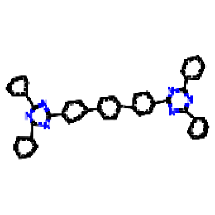 c1ccc(-c2nc(-c3ccccc3)nc(-c3ccc(-c4ccc(-c5ccc(-c6nc(-c7ccccc7)nc(-c7ccccc7)n6)cc5)cc4)cc3)n2)cc1